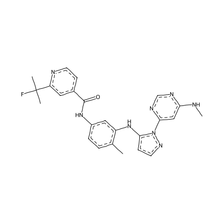 CNc1cc(-n2nccc2Nc2cc(NC(=O)c3ccnc(C(C)(C)F)c3)ccc2C)ncn1